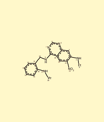 CCNc1cc2ncnc(NCc3ccccc3NC(C)C)c2cc1[N+](=O)[O-]